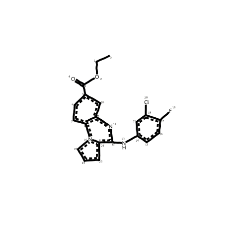 CCOC(=O)c1ccc2c(c1)nc(Nc1ccc(F)c(Cl)c1)c1cccn12